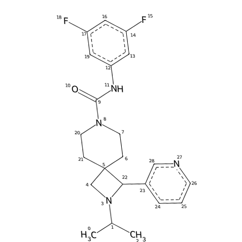 CC(C)N1CC2(CCN(C(=O)Nc3cc(F)cc(F)c3)CC2)C1c1cccnc1